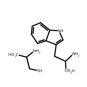 NC(CS)C(=O)O.NC(Cc1c[nH]c2ccccc12)C(=O)O